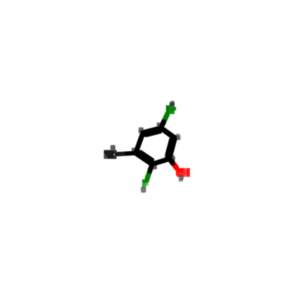 N#Cc1cc(Br)cc(O)c1F